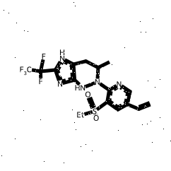 C=Cc1cnc(N2Nc3nc(C(F)(F)C(F)(F)F)[nH]c3CC2C)c(S(=O)(=O)CC)c1